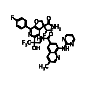 Cc1cnc2c(Nc3ncccn3)cc(C(=O)NCC(O)(c3cc4c(c(-c5ccc(F)cc5)n3)OC[C@@]4(C(N)=O)C(F)F)C(F)(F)F)cc2c1